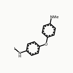 CNc1ccc(Oc2ccc(NI)cc2)cc1